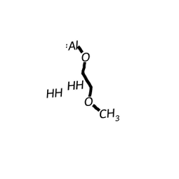 COCC[O][Al].[HH].[HH]